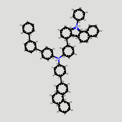 c1ccc(-c2cccc(-c3ccc(N(c4ccc(-c5ccc6c(ccc7ccccc76)c5)cc4)c4cccc(-c5cccc6c5c5ccc7ccccc7c5n6-c5ccccc5)c4)cc3)c2)cc1